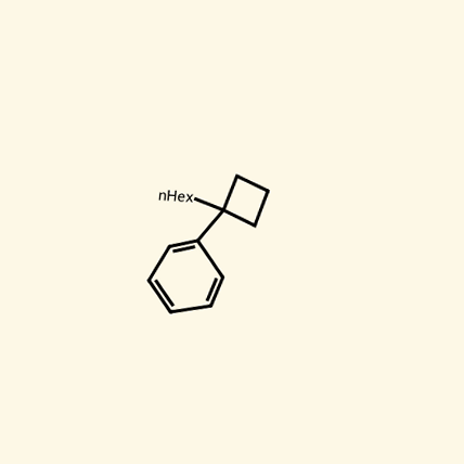 CCCCCCC1(c2ccccc2)CCC1